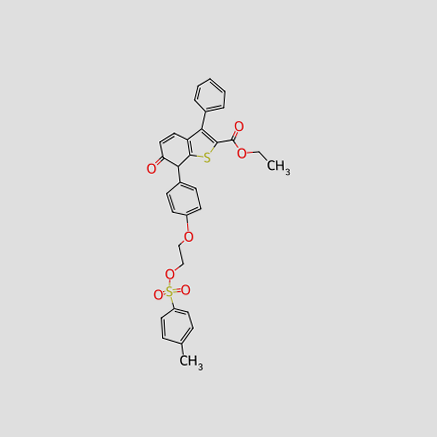 CCOC(=O)c1sc2c(c1-c1ccccc1)C=CC(=O)C2c1ccc(OCCOS(=O)(=O)c2ccc(C)cc2)cc1